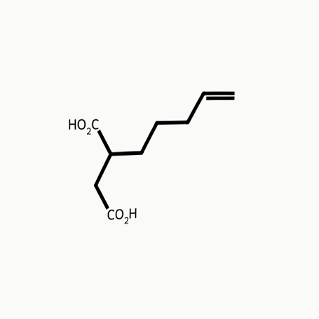 C=CCCCC(CC(=O)O)C(=O)O